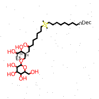 CCCCCCCCCCCCCCCCCCS(C)(C)CCCCCCC(=O)C[C@@H](COC1OC(CO)C(O)C(O)C1O)[C@H](O)[C@H](O)CC